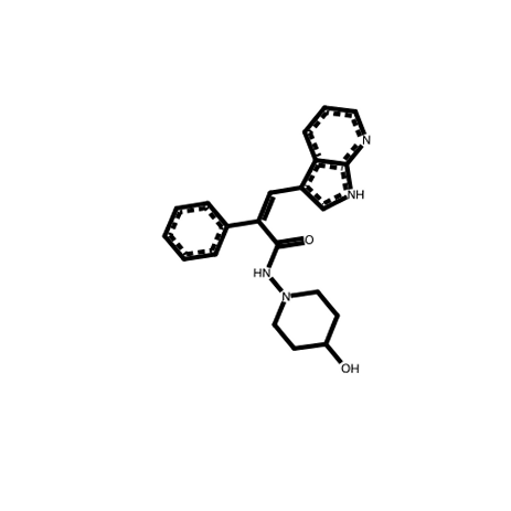 O=C(NN1CCC(O)CC1)C(=Cc1c[nH]c2ncccc12)c1ccccc1